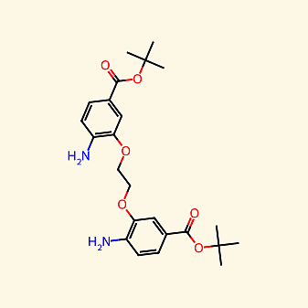 CC(C)(C)OC(=O)c1ccc(N)c(OCCOc2cc(C(=O)OC(C)(C)C)ccc2N)c1